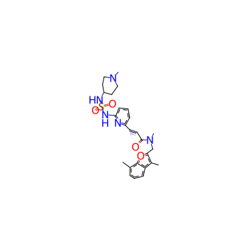 Cc1c(CN(C)C(=O)/C=C/c2cccc(NS(=O)(=O)NC3CCN(C)CC3)n2)oc2c(C)cccc12